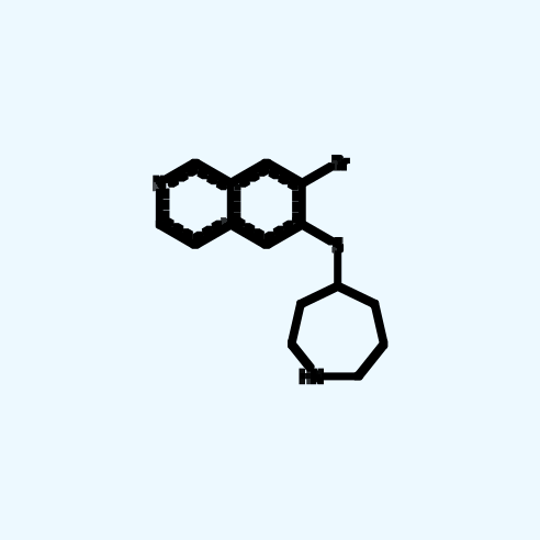 Brc1cc2cnccc2cc1SC1CCCNCC1